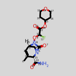 CC1=C[C@@H]2CN(C(=O)N2OC(F)C(=O)OC2CCOCC2)[C@@H]1C(N)=O